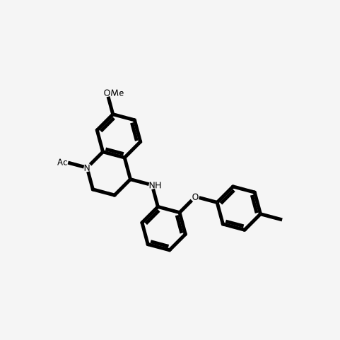 COc1ccc2c(c1)N(C(C)=O)CCC2Nc1ccccc1Oc1ccc(C)cc1